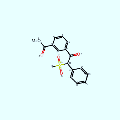 COC(=O)c1cccc(C(=O)C(c2ccccc2)S(C)(=O)=O)c1